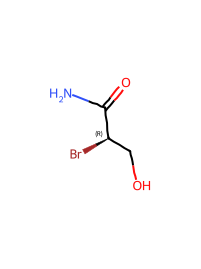 NC(=O)[C@H](Br)CO